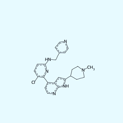 CN1CCC(c2cc3c(-c4nc(NCc5ccncc5)ccc4Cl)ccnc3[nH]2)CC1